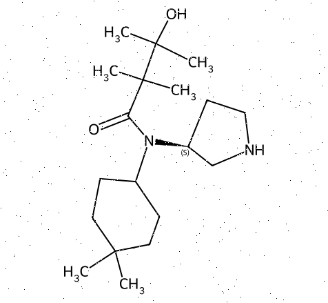 CC1(C)CCC(N(C(=O)C(C)(C)C(C)(C)O)[C@H]2CCNC2)CC1